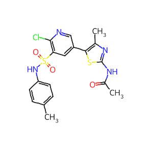 CC(=O)Nc1nc(C)c(-c2cnc(Cl)c(S(=O)(=O)Nc3ccc(C)cc3)c2)s1